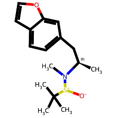 C[C@H](Cc1ccc2ccoc2c1)N(C)[S+]([O-])C(C)(C)C